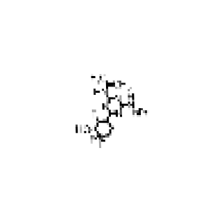 C=C(Nc1nc(NCCC)nc(C2=C(F)[C@H](O)C(F)(F)CC2)n1)C(F)(F)F